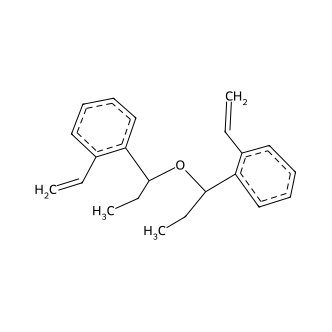 C=Cc1ccccc1C(CC)OC(CC)c1ccccc1C=C